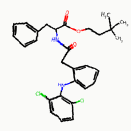 CC(C)(C)CCOC(=O)C(Cc1ccccc1)NC(=O)Cc1ccccc1Nc1c(Cl)cccc1Cl